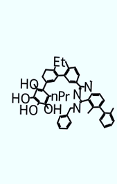 C=N/C(=N\C(=N/Cc1ccccc1)c1cccc(-c2ccccc2C)c1C)c1ccc(C)c(C2=C(CC)CCC(c3c(O)c(O)c(O)c(O)c3CCC)=C2)c1